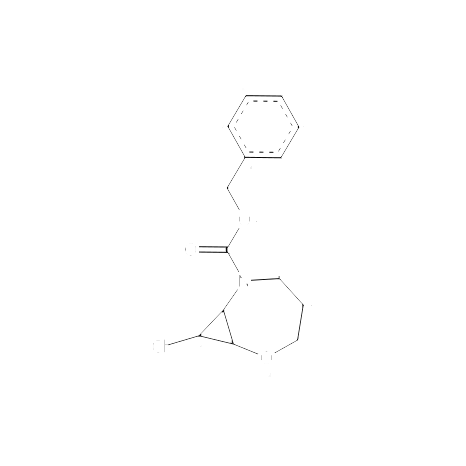 O=C(OCc1ccccc1)N1CCCOC2C(Cl)C21